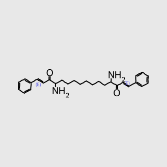 NC(CCCCCCCCC(N)C(=O)/C=C/c1ccccc1)C(=O)/C=C/c1ccccc1